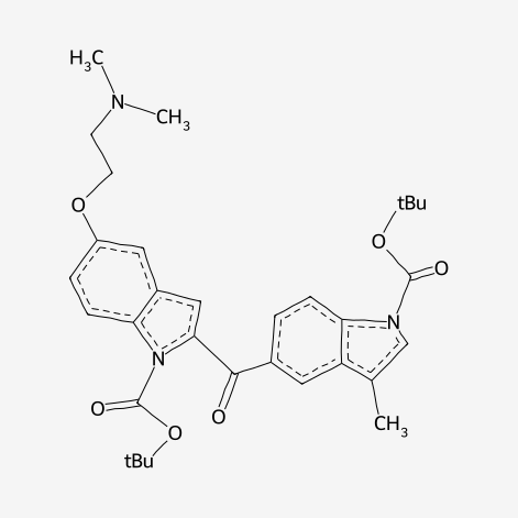 Cc1cn(C(=O)OC(C)(C)C)c2ccc(C(=O)c3cc4cc(OCCN(C)C)ccc4n3C(=O)OC(C)(C)C)cc12